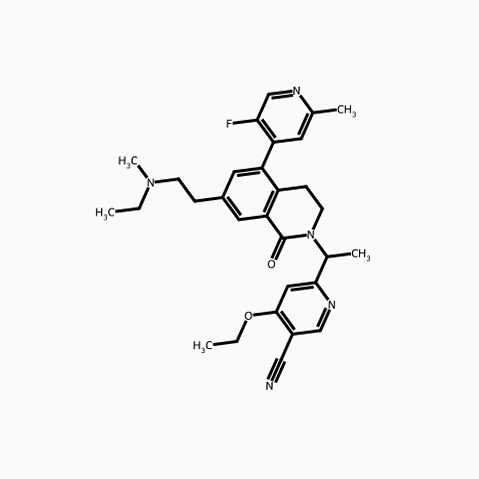 CCOc1cc(C(C)N2CCc3c(cc(CCN(C)CC)cc3-c3cc(C)ncc3F)C2=O)ncc1C#N